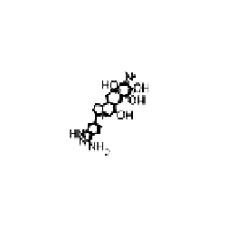 CN(C)[C@H]1C[C@]2(O)CCC3=C(C=C2[C@@H](O)[C@@H]1O)C(O)C[C@]1(C)C(c2ccc4c(N)n[nH]c4c2)=CCC31